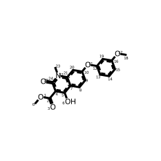 COC(=O)c1c(O)c2ccc(Oc3cccc(OC)c3)cc2n(C)c1=O